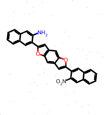 Nc1cc2ccccc2cc1-c1cc2cc3oc(-c4cc5ccccc5cc4[N+](=O)[O-])cc3cc2o1